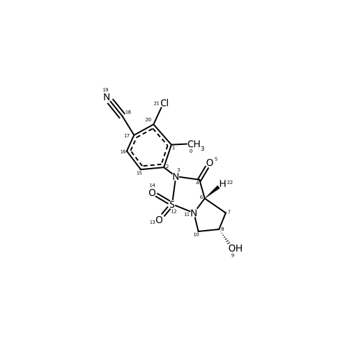 Cc1c(N2C(=O)[C@@H]3C[C@H](O)CN3S2(=O)=O)ccc(C#N)c1Cl